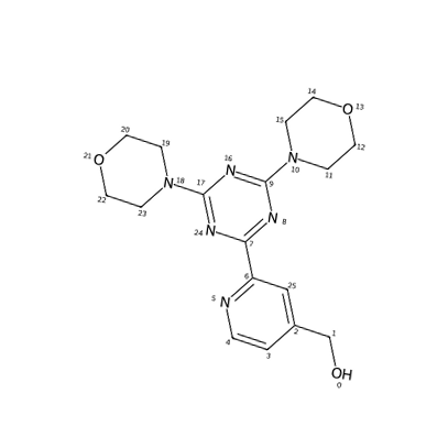 OCc1ccnc(-c2nc(N3CCOCC3)nc(N3CCOCC3)n2)c1